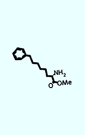 COC(=O)[C@@H](N)CCCCCCc1ccccc1